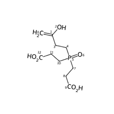 C=C(O)CCP(=O)(CCC(=O)O)CCC(=O)O